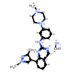 Cc1nn(C)cc1-c1cccc2cnc(Nc3cccc(N4CCN(C)CC4)c3)nc12.NC=O